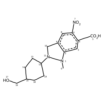 CN1c2cc(C(=O)O)c([N+](=O)[O-])cc2CN1C1CCC(CO)CC1